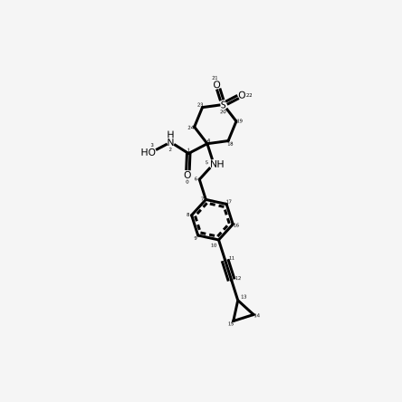 O=C(NO)C1(NCc2ccc(C#CC3CC3)cc2)CCS(=O)(=O)CC1